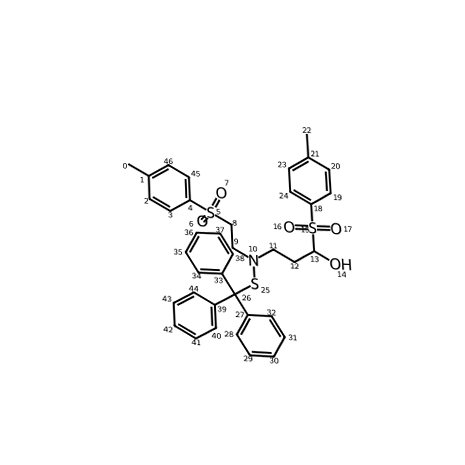 Cc1ccc(S(=O)(=O)CCN(CCC(O)S(=O)(=O)c2ccc(C)cc2)SC(c2ccccc2)(c2ccccc2)c2ccccc2)cc1